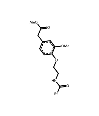 CCC(=O)NCCOc1ccc(CC(=O)OC)cc1OC